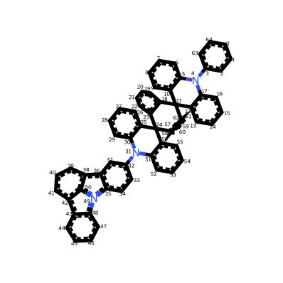 c1ccc(N2c3ccccc3C3(c4ccccc42)c2ccccc2C2(c4ccccc4N(c4ccc5c(c4)c4cccc6c7ccccc7n5c64)c4ccccc42)c2ccccc23)cc1